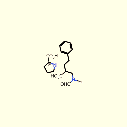 CCN(C=O)CC(CCc1ccccc1)C(=O)O.O=C(O)[C@@H]1CCCN1